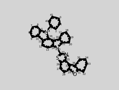 c1ccc(-n2c3ccccc3c3ccc4c(c5ccccc5n4-c4nc5c(ccc6oc7ccccc7c65)s4)c32)cc1